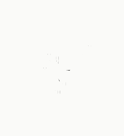 COc1ccc(C[C@H](C[C@H](O)[C@H](Cc2ccc(OCc3ccccc3)cc2)NC(=O)OC(C)(C)C)C(=O)O)cc1